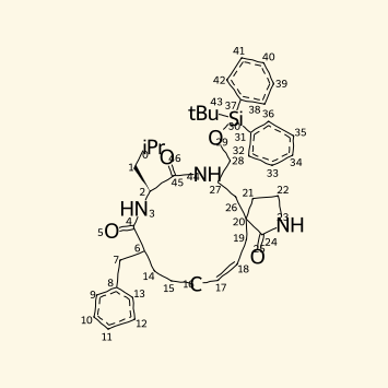 CC(C)C[C@@H]1NC(=O)C(Cc2ccccc2)CCCC=CCC2(CCNC2=O)CC(CO[Si](c2ccccc2)(c2ccccc2)C(C)(C)C)NC1=O